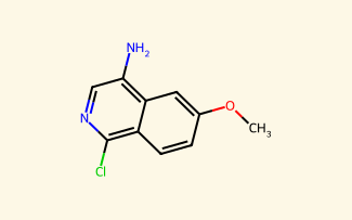 COc1ccc2c(Cl)ncc(N)c2c1